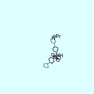 CCCN1CCC(c2ccc(NS(=O)(=O)c3ccc(C4CCCC4)cc3)cc2)C1.Cl